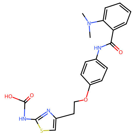 CN(C)c1ccccc1C(=O)Nc1ccc(OCCc2csc(NC(=O)O)n2)cc1